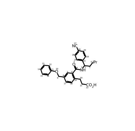 CC(C)CC(NC(=O)c1cc(COc2ccccc2)ccc1CCC(=O)O)c1ccc(C#N)cc1